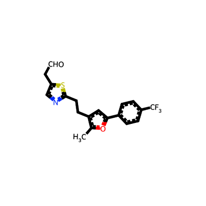 Cc1oc(-c2ccc(C(F)(F)F)cc2)cc1CCc1ncc(CC=O)s1